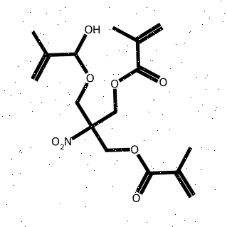 C=C(C)C(=O)OCC(COC(=O)C(=C)C)(COC(O)C(=C)C)[N+](=O)[O-]